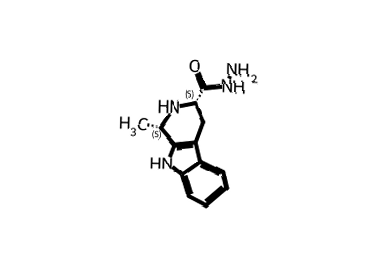 C[C@@H]1N[C@H](C(=O)NN)Cc2c1[nH]c1ccccc21